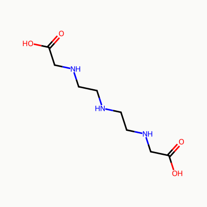 O=C(O)CNCCNCCNCC(=O)O